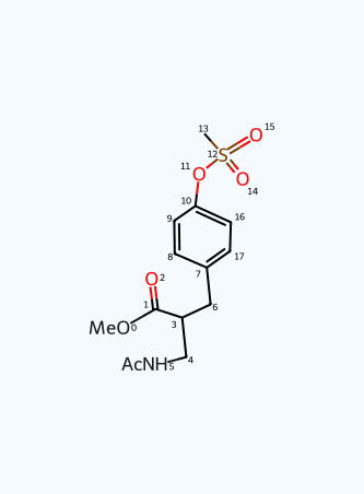 COC(=O)C(CNC(C)=O)Cc1ccc(OS(C)(=O)=O)cc1